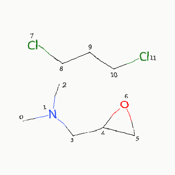 CN(C)CC1CO1.ClCCCCl